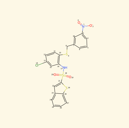 O=[N+]([O-])c1cccc(CSc2ccc(Cl)cc2NS(=O)(=O)c2cc3ccccc3s2)c1